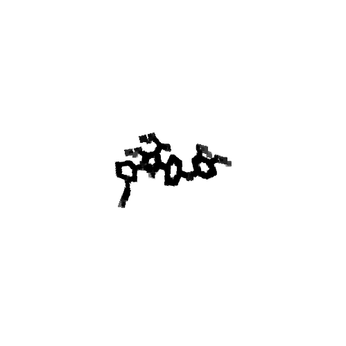 Cc1ccc(Oc2ccc(-c3nn([C@@H]4CCCN(C#N)C4)c(N)c3C(N)=O)cc2)cc1C